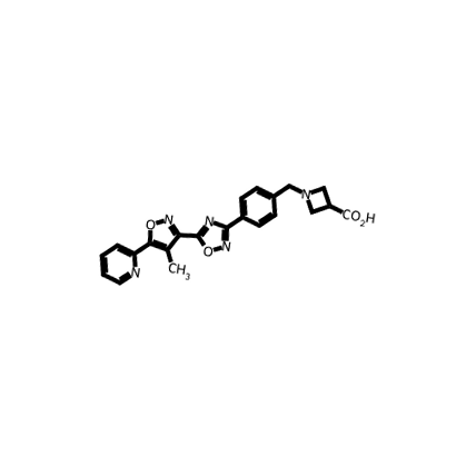 Cc1c(-c2nc(-c3ccc(CN4CC(C(=O)O)C4)cc3)no2)noc1-c1ccccn1